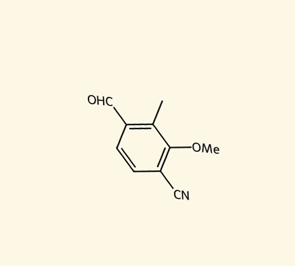 COc1c(C#N)ccc(C=O)c1C